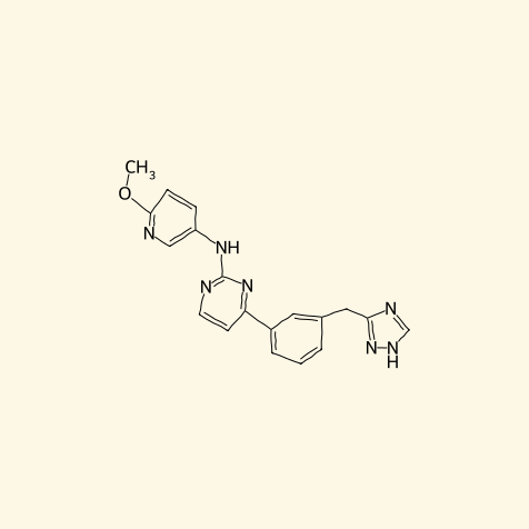 COc1ccc(Nc2nccc(-c3cccc(Cc4nc[nH]n4)c3)n2)cn1